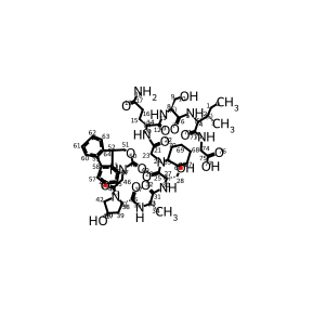 CC[C@H](C)[C@H](NC(=O)[C@H](CO)NC(=O)[C@H](CCC(N)=O)NC(=O)CN(C(=O)[C@H](CO)NC(=O)[C@H](C)NC(=O)[C@@H]1C[C@@H](O)CN1C(=O)CNC(=O)OCC1c2ccccc2-c2ccccc21)C1CCCCC1)C(=O)NCC(=O)O